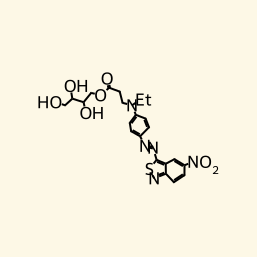 CCN(CCC(=O)OCC(O)C(O)CO)c1ccc(N=Nc2snc3ccc([N+](=O)[O-])cc23)cc1